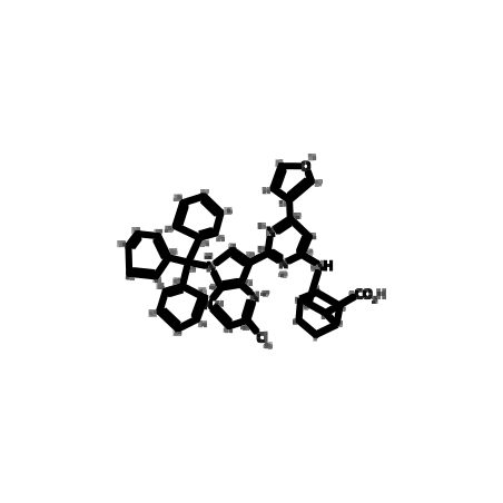 O=C(O)C1C2CCC(CC2)C1Nc1cc(-c2ccoc2)nc(-c2cn(C(c3ccccc3)(c3ccccc3)c3ccccc3)c3ncc(Cl)nc23)n1